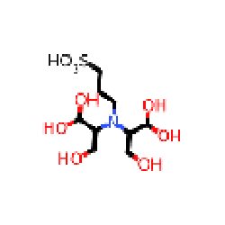 O=S(=O)(O)CCCN(C(CO)C(O)O)C(CO)C(O)O